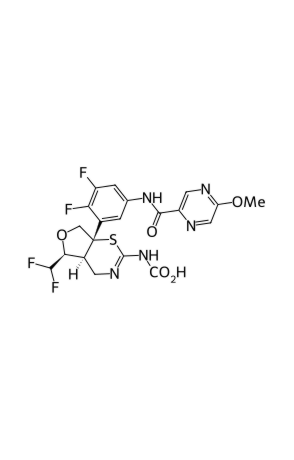 COc1cnc(C(=O)Nc2cc(F)c(F)c([C@]34CO[C@H](C(F)F)[C@@H]3CN=C(NC(=O)O)S4)c2)cn1